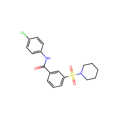 O=C(Nc1ccc(Cl)cc1)c1cccc(S(=O)(=O)N2CCCCC2)c1